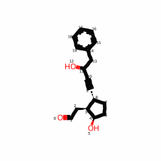 O=CC[C@@H]1[C@H](O)CC[C@H]1C#CC(O)Cc1ccccc1